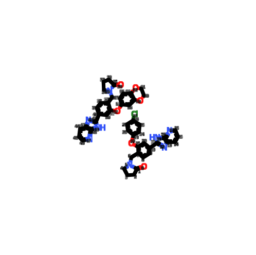 O=C1CCCN1Cc1ccc(-c2nc3cccnc3[nH]2)cc1Oc1ccc(Cl)cc1.O=C1CCCN1Cc1ccc(-c2nc3cccnc3[nH]2)cc1Oc1ccc2c(c1)OCCO2